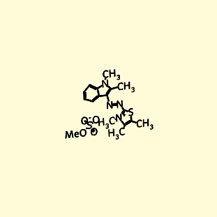 COS(=O)(=O)[O-].Cc1sc(N=Nc2c(C)n(C)c3ccccc23)[n+](C)c1C